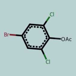 CC(=O)Oc1c(Cl)cc(Br)cc1Cl